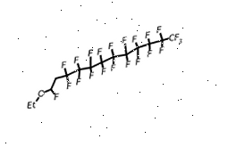 CCOC(F)CC(F)(F)C(F)(F)C(F)(F)C(F)(F)C(F)(F)C(F)(F)C(F)(F)C(F)(F)C(F)(F)C(F)(F)F